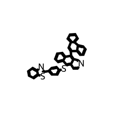 c1ccc2c(c1)cc(-c1c3ccccc3c(Sc3ccc(-c4nc5ccccc5s4)cc3)c3ccncc13)c1ccccc12